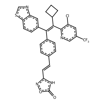 O=c1[nH]c(C=Cc2ccc(C(=C(c3ncc(C(F)(F)F)cc3Cl)C3CCC3)c3ccc4scnc4c3)cc2)no1